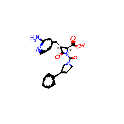 Nc1cc(C[C@H]2C(=O)N(C(=O)N3CCC(c4ccccc4)C3)[C@@H]2C(=O)O)ccn1